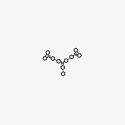 c1ccc(-c2ccc(N(c3ccc(-c4ccc(-n5c6ccccc6c6ccccc65)cc4)cc3)c3ccc(-c4ccc(-n5c6ccccc6c6ccccc65)cc4)cc3)cc2)cc1